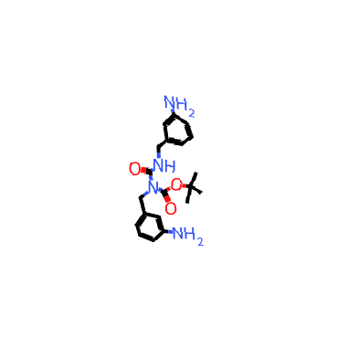 CC(C)(C)OC(=O)N(Cc1cccc(N)c1)C(=O)NCc1cccc(N)c1